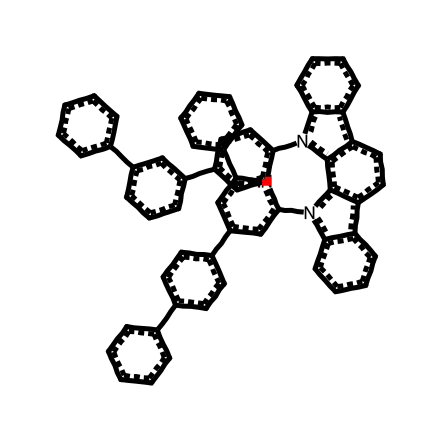 c1ccc(-c2ccc(-c3cc(-c4ccccc4)nc(-n4c5ccccc5c5ccc6c7ccccc7n(-c7ccc(-c8cccc(-c9ccccc9)c8)cc7)c6c54)c3)cc2)cc1